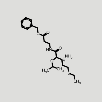 CCSCC[C@@H](N)C(OC(C)C)C(=O)NCCC(=O)OCc1ccccc1